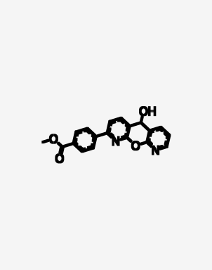 COC(=O)c1ccc(-c2ccc3c(n2)Oc2ncccc2C3O)cc1